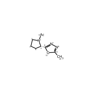 CC(=O)N1CCC[C@H]1c1nnc(C)o1